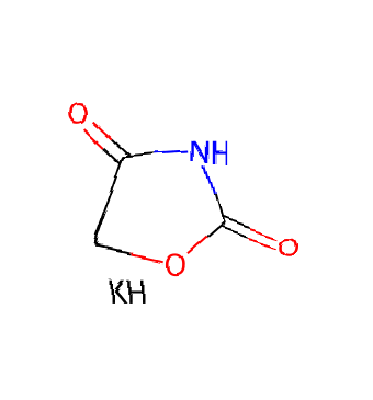 O=C1COC(=O)N1.[KH]